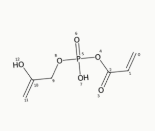 C=CC(=O)OP(=O)(O)OCC(=C)O